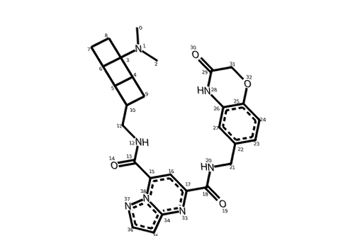 CN(C)C12C3C4C1C1C2C3C41CNC(=O)c1cc(C(=O)NCc2ccc3c(c2)NC(=O)CO3)nc2ccnn12